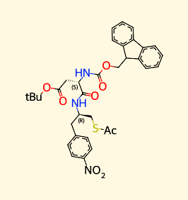 CC(=O)SC[C@@H](Cc1ccc([N+](=O)[O-])cc1)NC(=O)[C@H](CC(=O)OC(C)(C)C)NC(=O)OCC1c2ccccc2-c2ccccc21